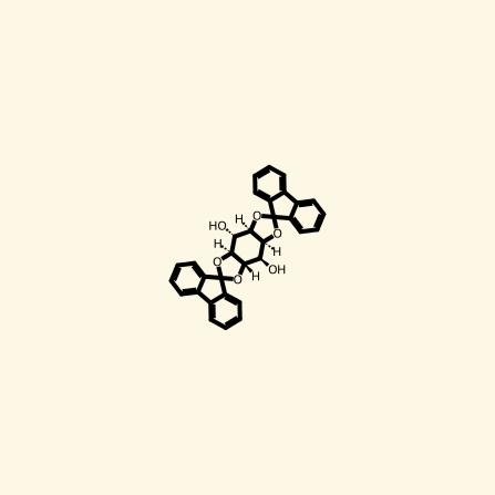 O[C@@H]1[C@H]2OC3(O[C@H]2[C@@H](O)[C@@H]2OC4(O[C@@H]12)c1ccccc1-c1ccccc14)c1ccccc1-c1ccccc13